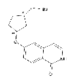 CCC(C)C[C@H]1CC[C@@H](Oc2ccc3c(=O)[nH]ccc3c2)C1